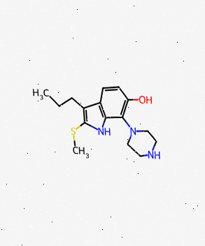 CCCc1c(SC)[nH]c2c(N3CCNCC3)c(O)ccc12